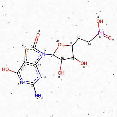 Nc1nc(O)c2sc(=O)n(C3OC(CC[PH](=O)O)C(O)C3O)c2n1